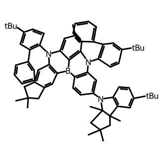 Cc1cc2c3c(c1)N(c1ccc(C(C)(C)C)cc1-c1ccccc1)c1cc4c(cc1B3c1ccc(N3c5ccc(C(C)(C)C)cc5C5(C)CC(C)(C)CC35C)cc1N2c1ccc(C(C)(C)C)cc1-c1ccccc1)CC(C)(C)C4